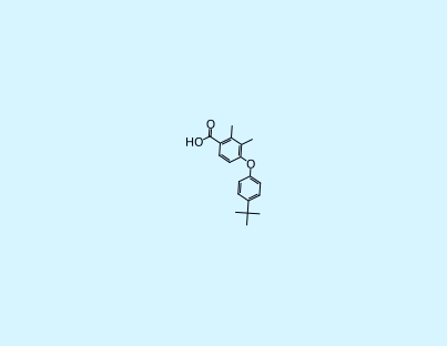 Cc1c(Oc2ccc(C(C)(C)C)cc2)ccc(C(=O)O)c1C